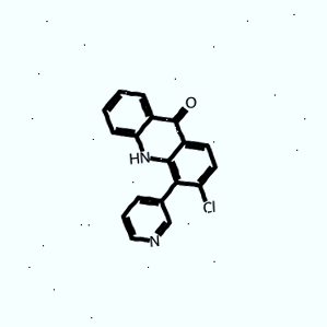 O=c1c2ccccc2[nH]c2c(-c3cccnc3)c(Cl)ccc12